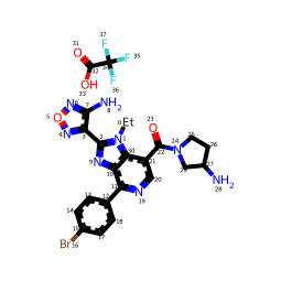 CCn1c(-c2nonc2N)nc2c(-c3ccc(Br)cc3)ncc(C(=O)N3CCC(N)C3)c21.O=C(O)C(F)(F)F